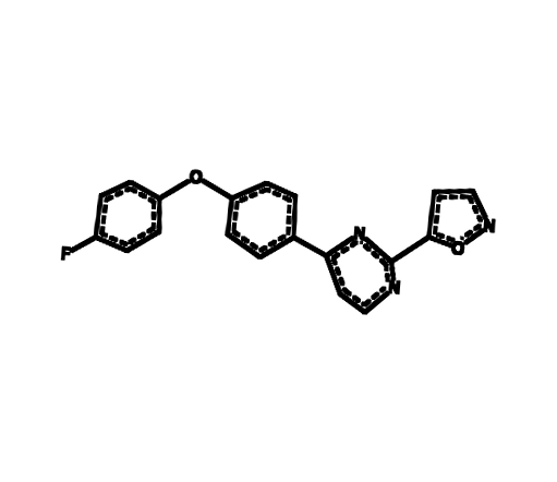 Fc1ccc(Oc2ccc(-c3ccnc(-c4ccno4)n3)cc2)cc1